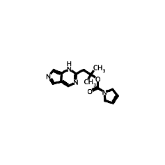 CC(C)(Cc1ncc2cncc-2[nH]1)OC(=O)N1CC=CC1